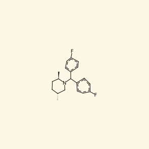 C[C@@H]1CC[C@@H](C)N(C(c2ccc(F)cc2)c2ccc(F)cc2)C1